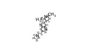 Cc1ccc(-c2cnc3cc(CCN4CCCC4)cnc3c2)c(C)n1